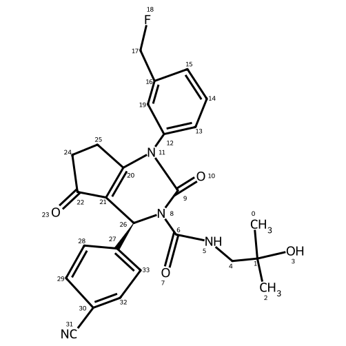 CC(C)(O)CNC(=O)N1C(=O)N(c2cccc(CF)c2)C2=C(C(=O)CC2)[C@@H]1c1ccc(C#N)cc1